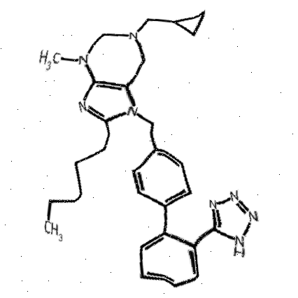 CCCCCc1nc2c(n1Cc1ccc(-c3ccccc3-c3nnn[nH]3)cc1)CN(CC1CC1)CN2C